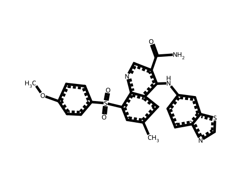 COc1ccc(S(=O)(=O)c2cc(C)cc3c(Nc4ccc5ncsc5c4)c(C(N)=O)cnc23)cc1